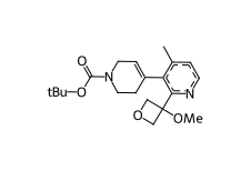 COC1(c2nccc(C)c2C2=CCN(C(=O)OC(C)(C)C)CC2)COC1